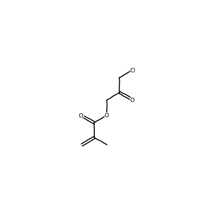 C=C(C)C(=O)OCC(=O)CCl